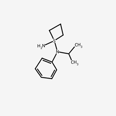 CC(C)N(c1ccccc1)S1(N)CCC1